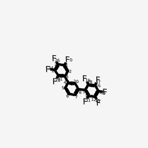 Fc1cc(-c2cccc(-c3c(F)c(F)c(F)c(F)c3F)c2)c(F)c(F)c1F